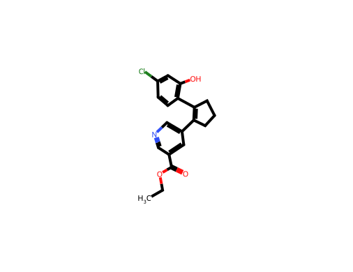 CCOC(=O)c1cncc(C2=C(c3ccc(Cl)cc3O)CCC2)c1